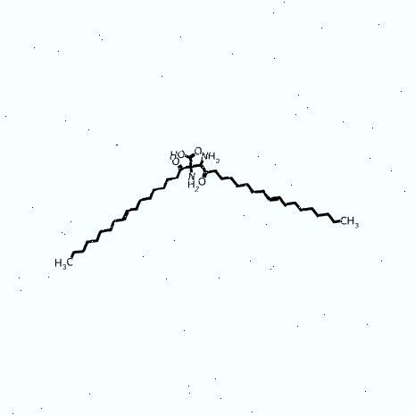 CCCCCCCCC=CCCCCCCCC(=O)C(N)C(N)(C(=O)O)C(=O)CCCCCCCC=CCCCCCCCC